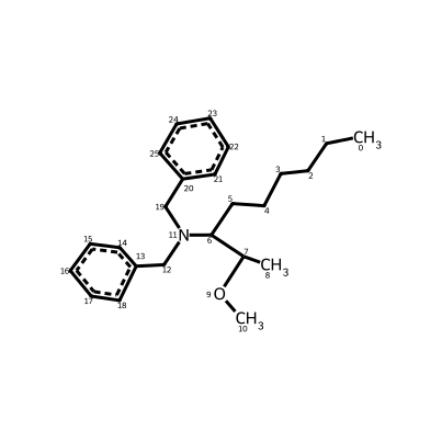 CCCCCCC(C(C)OC)N(Cc1ccccc1)Cc1ccccc1